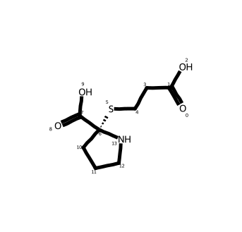 O=C(O)CCS[C@@]1(C(=O)O)CCCN1